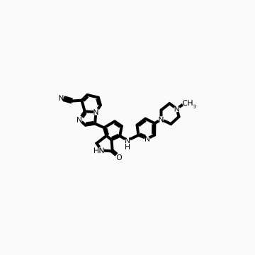 CN1CCN(c2ccc(Nc3ccc(-c4cnc5c(C#N)cccn45)c4c3C(=O)NC4)nc2)CC1